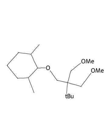 COCC(COC)(COC1C(C)CCCC1C)C(C)(C)C